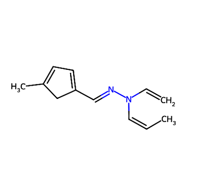 C=CN(/C=C\C)/N=C/C1=CC=C(C)C1